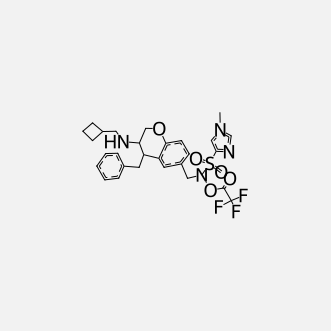 Cn1cnc(S(=O)(=O)N(Cc2ccc3c(c2)C(Cc2ccccc2)C(NCC2CCC2)CO3)OC(=O)C(F)(F)F)c1